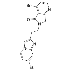 CCc1ccn2cc(CCN3Cc4nccc(Br)c4C3=O)nc2c1